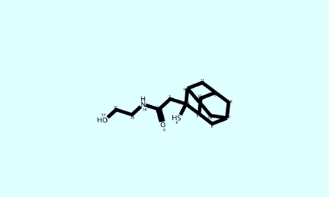 O=C(CC1(S)C2CC3CC(C2)CC1C3)NCCO